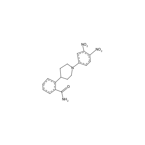 NC(=O)c1ccccc1C1CCN(c2ccc([N+](=O)[O-])c([N+](=O)[O-])c2)CC1